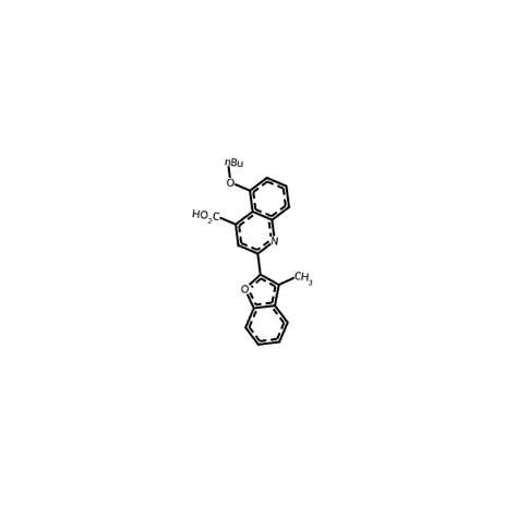 CCCCOc1cccc2nc(-c3oc4ccccc4c3C)cc(C(=O)O)c12